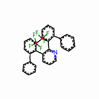 FC(F)(F)c1cccc(-c2ccccc2)c1-c1cccnc1-c1c(-c2ccccc2)cccc1C(F)(F)F